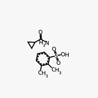 Cc1cccc(S(=O)(=O)O)c1C.NC(=O)C1CC1